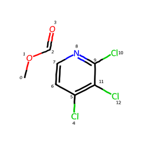 COC=O.Clc1ccnc(Cl)c1Cl